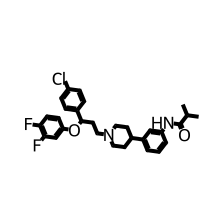 CC(C)C(=O)Nc1cccc(C2CCN(CCC(Oc3ccc(F)c(F)c3)c3ccc(Cl)cc3)CC2)c1